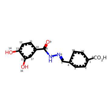 O=C(O)c1ccc(C=NNC(=O)c2ccc(O)c(O)c2)cc1